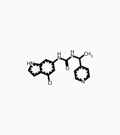 CC(NC(=O)Nc1cc(Cl)c2cc[nH]c2c1)c1ccncc1